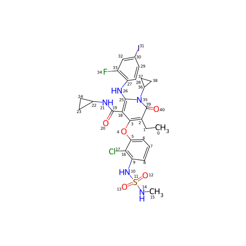 CCc1c(Oc2cccc(NS(=O)(=O)NC)c2Cl)c(C(=O)NC2CC2)c(Nc2ccc(I)cc2F)n(C2CC2)c1=O